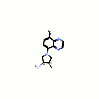 [2H]c1ccc(N2C[C@@H](C)[C@@H](N)C2)c2nccnc12